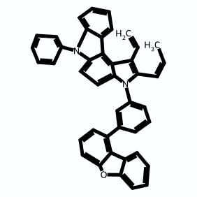 C=Cc1c(/C=C\C)n(-c2cccc(-c3cccc4oc5ccccc5c34)c2)c2ccc3c(c4ccccc4n3-c3ccccc3)c12